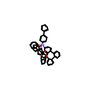 c1ccc(-c2ccc(N(c3ccc4c(c3)C3(c5ccccc5-c5ccccc5-4)c4ccccc4-c4cc5c(cc43)oc3ccccc35)c3ccccc3-c3ccccc3)cc2)cc1